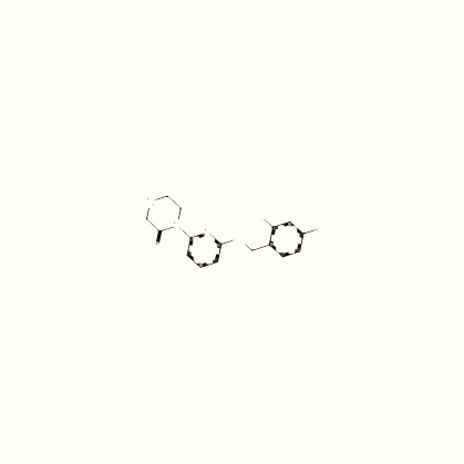 O=C1CNCCN1c1cccc(OCc2ccc(Cl)cc2F)n1